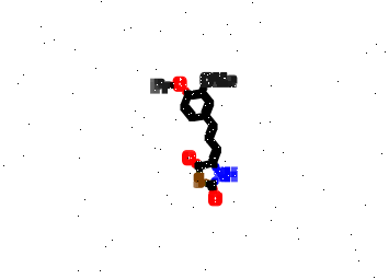 COc1cc(C=CC=C2NC(=O)SC2=O)ccc1OC(C)C